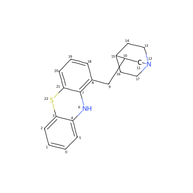 c1ccc2c(c1)Nc1c(CC3CN4CCC3CC4)cccc1S2